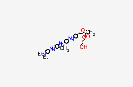 C=C(C(=O)C=Cc1ccc(N=Nc2ccc(N=Nc3ccc(N=Nc4ccc(N(CC)CC)cc4)cc3C)cc2)cc1)C(=O)OCCCCO